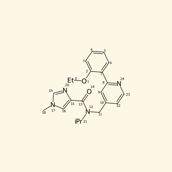 CCOc1ccccc1-c1cc(CN(C(=O)c2cn(C)cn2)C(C)C)ccn1